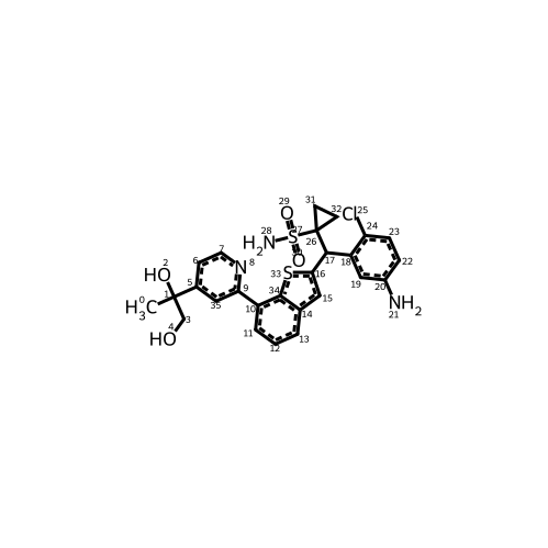 CC(O)(CO)c1ccnc(-c2cccc3cc(C(c4cc(N)ccc4Cl)C4(S(N)(=O)=O)CC4)sc23)c1